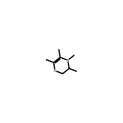 CC1=C(C)N(C)C(C)CO1